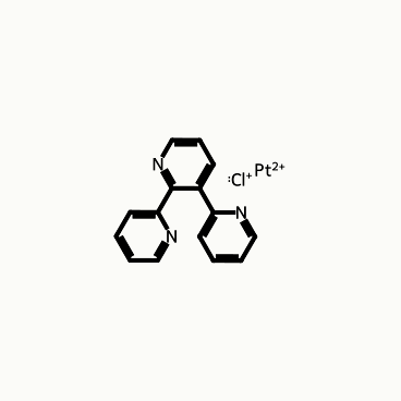 [Cl+].[Pt+2].c1ccc(-c2cccnc2-c2ccccn2)nc1